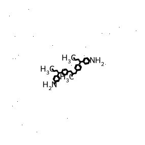 CCCC(c1ccc(N)cc1)c1ccc(CC(C)Cc2ccc(C(CCC)c3ccc(N)cc3)cc2)cc1